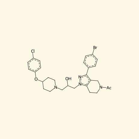 CC(=O)N1CCc2c(c(-c3ccc(Br)cc3)nn2CC(O)CN2CCC(Oc3ccc(Cl)cc3)CC2)C1